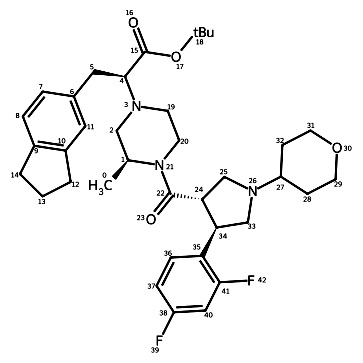 C[C@H]1CN([C@@H](Cc2ccc3c(c2)CCC3)C(=O)OC(C)(C)C)CCN1C(=O)[C@@H]1CN(C2CCOCC2)C[C@H]1c1ccc(F)cc1F